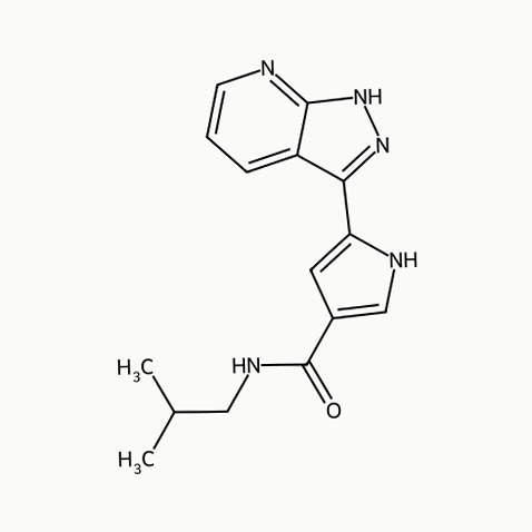 CC(C)CNC(=O)c1c[nH]c(-c2n[nH]c3ncccc23)c1